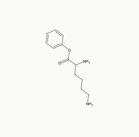 NCCCCC(N)C(=O)Oc1cc[c]cc1